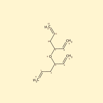 C=CCC(C=C)OC(C=C)CC=C